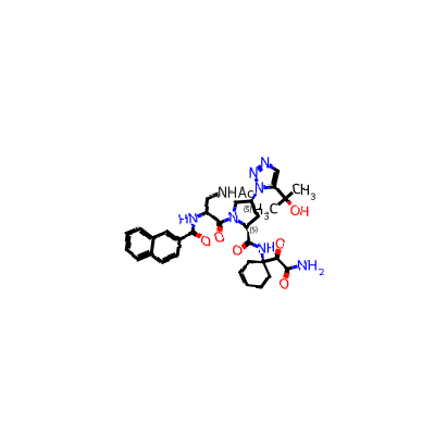 CC(=O)NCC(NC(=O)c1ccc2ccccc2c1)C(=O)N1C[C@@H](n2nncc2C(C)(C)O)C[C@H]1C(=O)NC1(C(=O)C(N)=O)CCCCC1